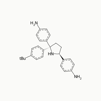 CC(C)(C)c1ccc([C@]2(c3ccc(N)cc3)CC[C@@H](c3ccc(N)cc3)N2)cc1